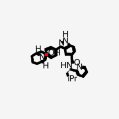 CC(C)C[C@H](NC(=O)c1ccc2[nH]nc(-c3ccc(N4[C@@H]5CCC[C@H]4CC(O)C5)cc3)c2c1)c1ccccn1